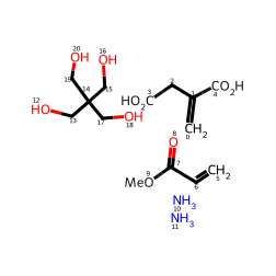 C=C(CC(=O)O)C(=O)O.C=CC(=O)OC.N.N.OCC(CO)(CO)CO